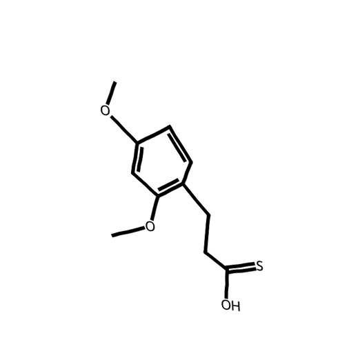 COc1ccc(CCC(O)=S)c(OC)c1